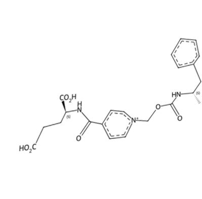 C[C@@H](Cc1ccccc1)NC(=O)OC[n+]1ccc(C(=O)N[C@@H](CCC(=O)O)C(=O)O)cc1